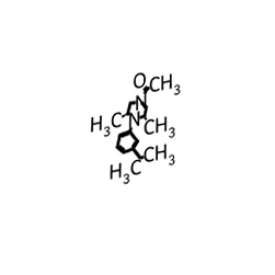 CC(=O)N1C[C@@H](C)N(c2cccc(C(C)C)c2)[C@@H](C)C1